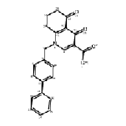 O=C(O)c1cn(Cc2ccc(-c3ccccc3)cc2)c2c(c1=O)C(=O)CCC2